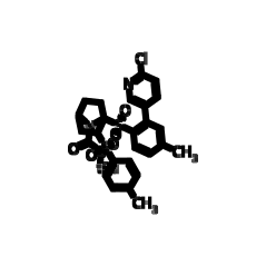 Cc1ccc(S(=O)(=O)C2CC3CCC2(S(=O)(=O)c2ccc(C)cc2-c2ccc(Cl)nc2)N3C(=O)OC(C)(C)C)cc1